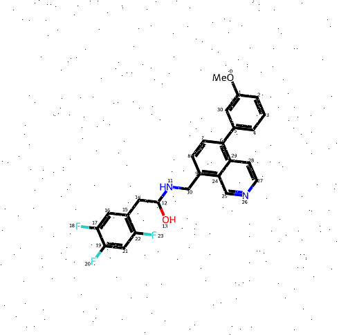 COc1cccc(-c2ccc(CNC(O)Cc3cc(F)c(F)cc3F)c3cnccc23)c1